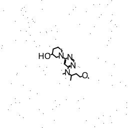 COCCC(C)N(C)c1cc(N2CCCC(O)C2)ncn1